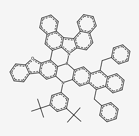 CC(C)(C)c1cc(N2c3cc4c(Cc5ccccc5)c5ccccc5c(Cc5ccccc5)c4cc3B3c4c2cc2c(oc5ccccc52)c4-c2cc4ccccc4c4c5c6ccccc6ccc5n3c24)cc(C(C)(C)C)c1